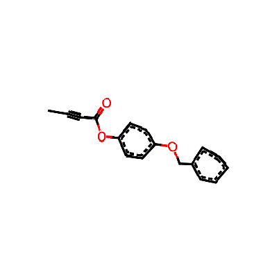 CC#CC(=O)Oc1ccc(OCc2ccccc2)cc1